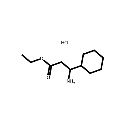 CCOC(=O)CC(N)C1CCCCC1.Cl